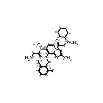 CC1=C[N+]2(C(=O)CN(C)C3CCCCC3)C=CC(N(C)C(=O)CN)=C(OCc3c(Cl)cccc3Cl)C2=N1